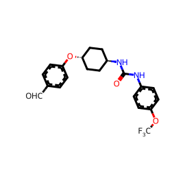 O=Cc1ccc(O[C@H]2CC[C@H](NC(=O)Nc3ccc(OC(F)(F)F)cc3)CC2)cc1